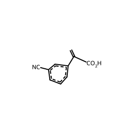 C=C(C(=O)O)c1cccc(C#N)c1